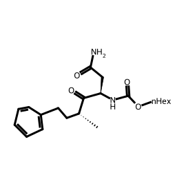 CCCCCCOC(=O)N[C@H](CC(N)=O)C(=O)[C@H](C)CCc1ccccc1